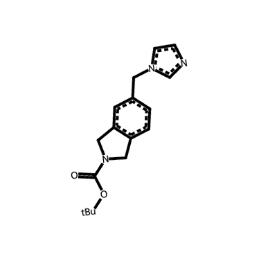 CC(C)(C)OC(=O)N1Cc2ccc(Cn3ccnc3)cc2C1